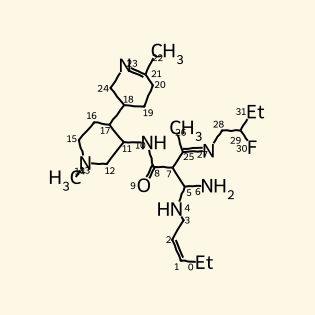 CC/C=C\CNC(N)C(C(=O)NC1CN(C)CCC1C1CCC(C)=NC1)/C(C)=N/CC(F)CC